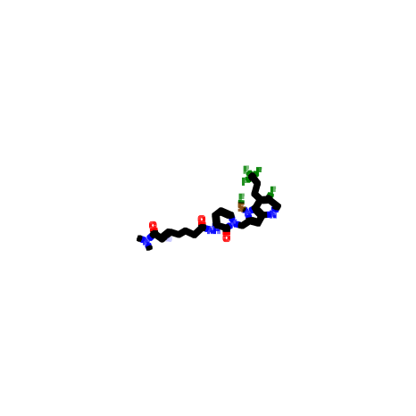 CN(C)C(=O)/C=C/CCCC(=O)Nc1cccn(Cc2cc3ncc(F)c(CCC(F)(F)F)c3n2SF)c1=O